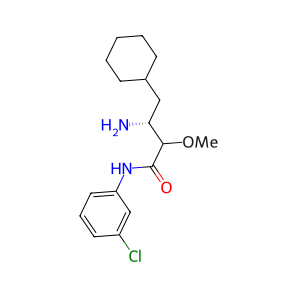 COC(C(=O)Nc1cccc(Cl)c1)[C@H](N)CC1CCCCC1